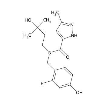 Cc1cc(C(=O)N(CCC(C)(C)O)Cc2ccc(O)cc2F)[nH]n1